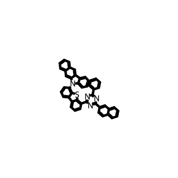 c1ccc(-c2nc(-c3ccc4ccccc4c3)nc(-c3cccc4c3sc3c(-n5c6ccccc6c6cc7ccccc7cc65)cccc34)n2)cc1